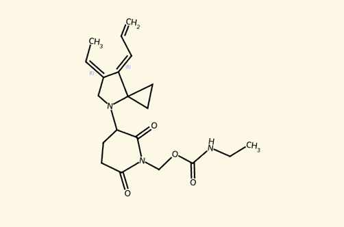 C=C/C=C1\C(=C/C)CN(C2CCC(=O)N(COC(=O)NCC)C2=O)C12CC2